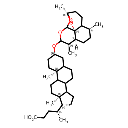 C[C@@H]1CC[C@H]2[C@@H](C)C(O[C@@H]3CC[C@@]4(C)C(CCC5C4CC[C@@]4(C)C5CC[C@@H]4[C@H](C)CCC(=O)O)C3)OC3O[C@]4(C)CCC1[C@]32OO4